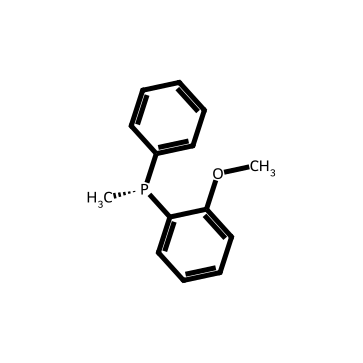 COc1ccccc1[P@](C)c1ccccc1